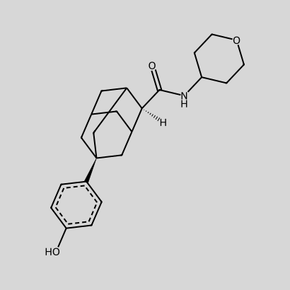 O=C(NC1CCOCC1)[C@H]1C2CC3CC1C[C@@](c1ccc(O)cc1)(C3)C2